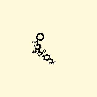 Cn1nc(C(=O)NC2CCN(CC(F)F)CC2)c2ccc(NC3CCCCCCC3)nc21